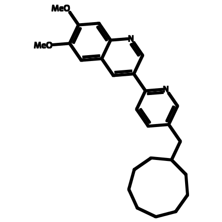 COc1cc2cc(-c3ccc(CC4CCCCCCCC4)cn3)cnc2cc1OC